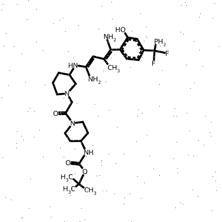 CC(/C=C(\N)NC1CCCN(CC(=O)N2CCC(NC(=O)OC(C)(C)C)CC2)C1)=C(/N)c1ccc(C(F)(F)P)cc1O